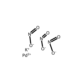 O=N[O-].O=N[O-].O=N[O-].[K+].[Pd+2]